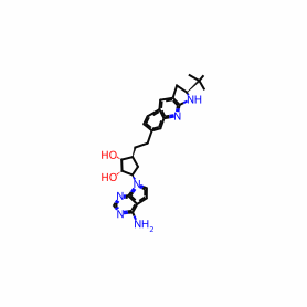 CC(C)(C)[C@@H]1Cc2cc3ccc(CC[C@H]4C[C@@H](n5ccc6c(N)ncnc65)[C@H](O)[C@@H]4O)cc3nc2N1